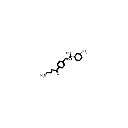 NCCNC(=O)c1ccc(C[SH]=C(O)[C@H]2CCC[C@H](N)C2)cc1